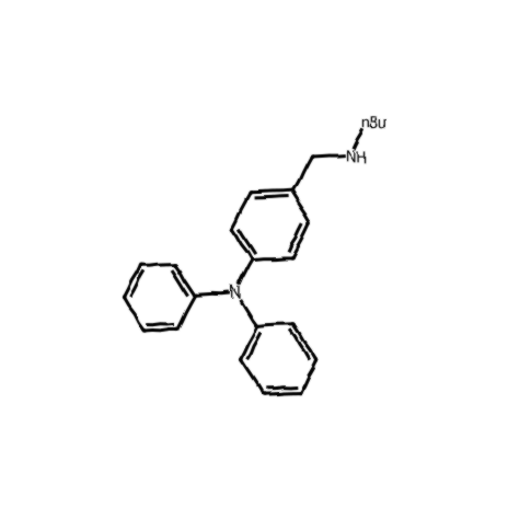 CCCCNCc1ccc(N(c2ccccc2)c2ccccc2)cc1